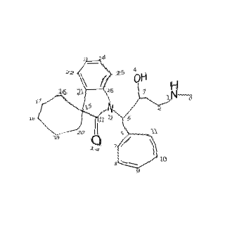 CNCC(O)C(c1ccccc1)N1C(=O)C2(CCCCC2)c2ccccc21